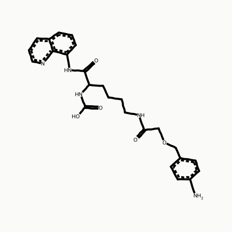 Nc1ccc(COCC(=O)NCCCCC(NC(=O)O)C(=O)Nc2cccc3cccnc23)cc1